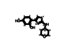 Oc1ccc(-c2csc(NN3CCOCC3)n2)c(O)c1